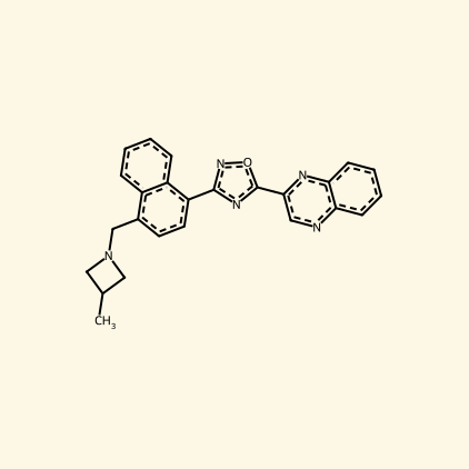 CC1CN(Cc2ccc(-c3noc(-c4cnc5ccccc5n4)n3)c3ccccc23)C1